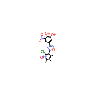 Cc1c(C)c(C)[n+]([O-])c(Cl)c1-c1nc(-c2cc(O)c(O)c([N+](=O)[O-])c2)no1